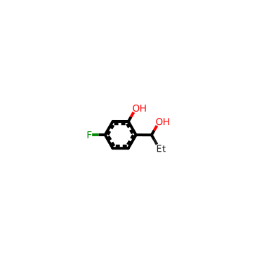 CCC(O)c1ccc(F)cc1O